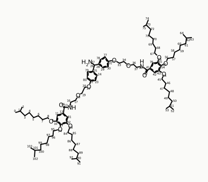 CC(C)CCCCCCOc1cc(C(=O)NCCOCCOc2ccc(C(N)c3ccc(OCCOCCNC(=O)c4cc(OCCCCCCC(C)C)c(OCCCCCCC(C)C)c(OCCCCCCC(C)C)c4)cc3)cc2)cc(OCCCCCCC(C)C)c1OCCCCCCC(C)C